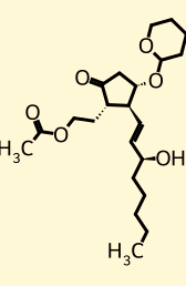 CCCCC[C@H](O)C=C[C@@H]1[C@@H](OC2CCCCO2)CC(=O)[C@H]1CCOC(C)=O